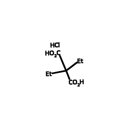 CCC(CC)(C(=O)O)C(=O)O.Cl